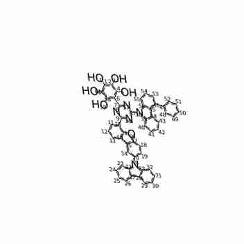 Oc1c(O)c(O)c(-c2nc(-c3cccc4c3oc3ccc(-n5c6ccccc6c6ccccc65)cc34)nc(-n3c4ccccc4c4c(-c5ccccc5)cccc43)n2)c(O)c1O